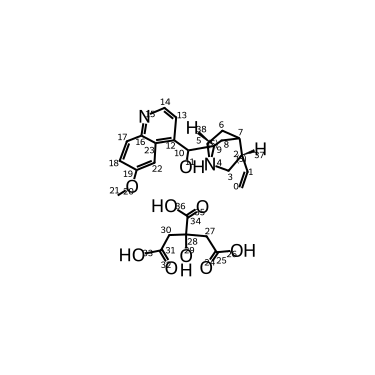 C=C[C@@H]1CN2CCC1C[C@H]2C(O)c1ccnc2ccc(OC)cc12.O=C(O)CC(O)(CC(=O)O)C(=O)O